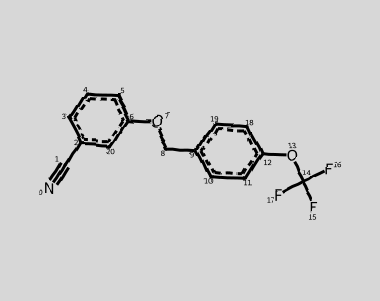 N#Cc1cccc(OCc2ccc(OC(F)(F)F)cc2)c1